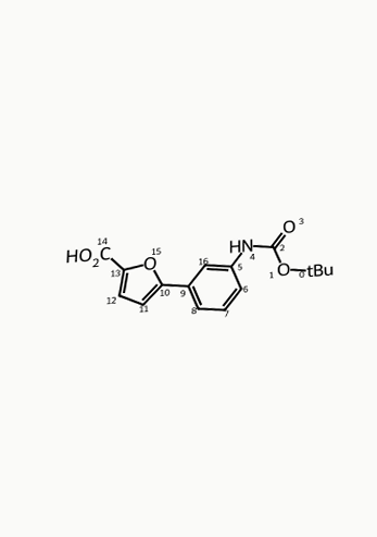 CC(C)(C)OC(=O)Nc1cccc(-c2ccc(C(=O)O)o2)c1